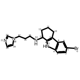 Brc1ccc2[nH]c3c(c2c1)CCCC3NCCCn1ccnc1